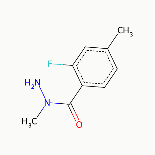 Cc1ccc(C(=O)N(C)N)c(F)c1